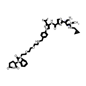 C=N/C(=C\C(=C/C)c1nc(C(=O)Nc2cn(-c3ccc(CNCCOCCOCCn4c(=O)n(C5CCC(=O)NC5=O)c5ccccc54)cc3)nc2C(F)F)co1)NCC1CC1